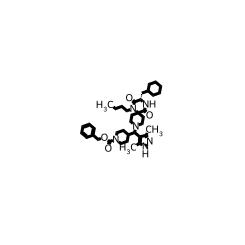 CCCCN1C(=O)[C@H](CC2CCCCC2)NC(=O)C12CCN(C(c1c(C)n[nH]c1C)C1CCN(C(=O)OCc3ccccc3)CC1)CC2